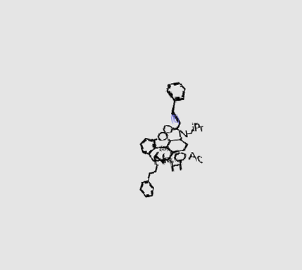 CC(=O)O[C@@]12CCC(N(CC(C)C)C(=O)/C=C/c3ccccc3)C3Oc4cccc5c4[C@@]31CCN(CCc1ccccc1)[C@@H]2C5